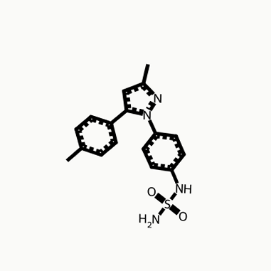 Cc1ccc(-c2cc(C)nn2-c2ccc(NS(N)(=O)=O)cc2)cc1